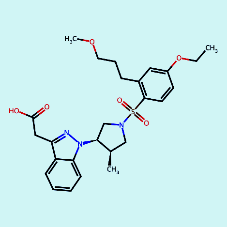 CCOc1ccc(S(=O)(=O)N2C[C@@H](C)[C@@H](n3nc(CC(=O)O)c4ccccc43)C2)c(CCCOC)c1